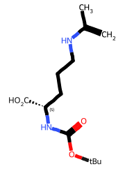 C=C(C)NCCC[C@H](NC(=O)OC(C)(C)C)C(=O)O